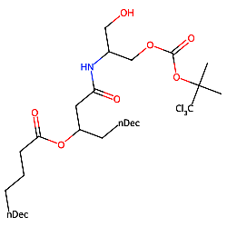 CCCCCCCCCCCCCC(=O)OC(CCCCCCCCCCC)CC(=O)NC(CO)COC(=O)OC(C)(C)C(Cl)(Cl)Cl